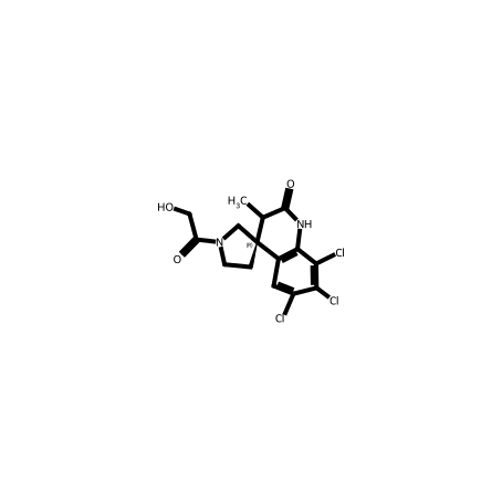 CC1C(=O)Nc2c(cc(Cl)c(Cl)c2Cl)[C@@]12CCN(C(=O)CO)C2